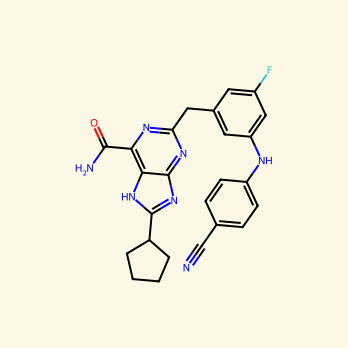 N#Cc1ccc(Nc2cc(F)cc(Cc3nc(C(N)=O)c4[nH]c(C5CCCC5)nc4n3)c2)cc1